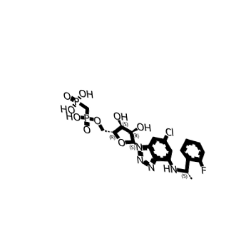 C[C@H](Nc1cc(Cl)cc2c1nnn2[C@H]1O[C@H](COP(=O)(O)CP(=O)(O)O)[C@@H](O)[C@H]1O)c1ccccc1F